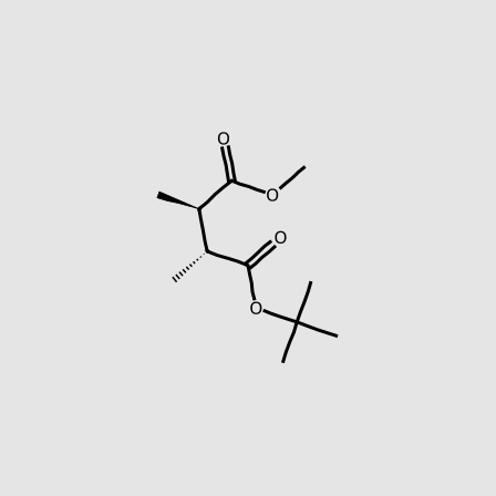 COC(=O)[C@H](C)[C@@H](C)C(=O)OC(C)(C)C